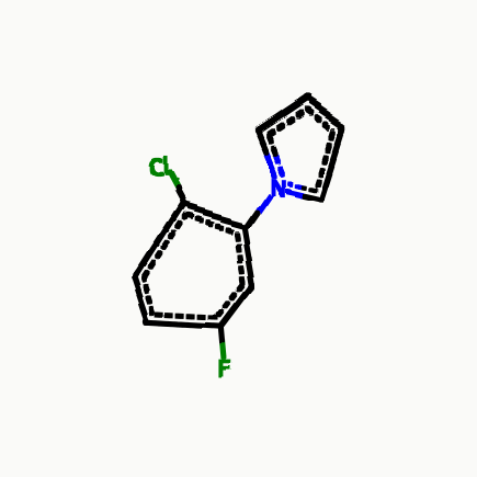 Fc1ccc(Cl)c(-n2cccc2)c1